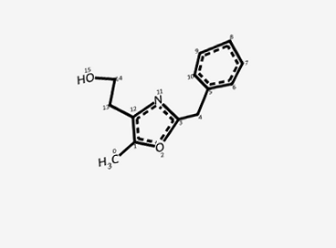 Cc1oc(Cc2ccccc2)nc1CCO